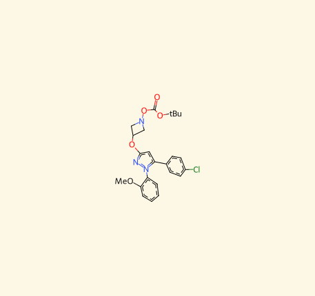 COc1ccccc1-n1nc(OC2CN(OC(=O)OC(C)(C)C)C2)cc1-c1ccc(Cl)cc1